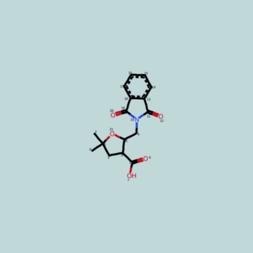 CC1(C)CC(C(=O)O)C(CN2C(=O)c3ccccc3C2=O)O1